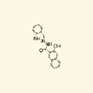 Nc1ccccc1/C=N/NC(=O)c1cc2ccccc2cc1O